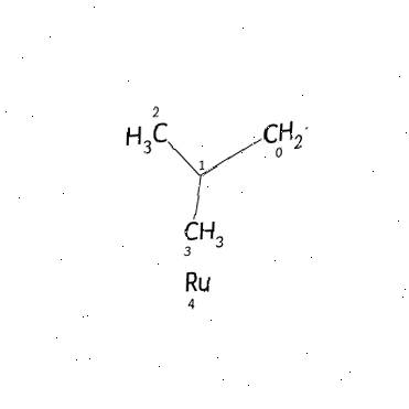 [CH2]C(C)C.[Ru]